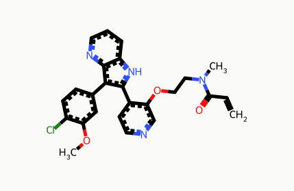 C=CC(=O)N(C)CCOc1cnccc1-c1[nH]c2cccnc2c1-c1ccc(Cl)c(OC)c1